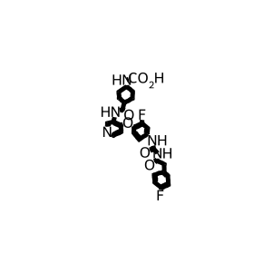 O=C(O)NC1CCC(C(=O)Nc2cnccc2Oc2ccc(NC(=O)NC(=O)Cc3ccc(F)cc3)cc2F)CC1